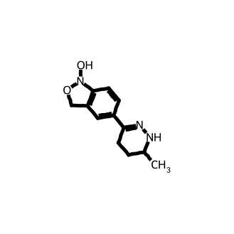 CC1CCC(c2ccc3c(c2)CON3O)=NN1